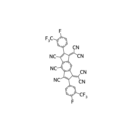 N#CC(C#N)=C1C(c2ccc(F)c(C(F)(F)F)c2)=C(C#N)c2c1cc1c(c2C#N)C(C#N)=C(c2ccc(F)c(C(F)(F)F)c2)C1=C(C#N)C#N